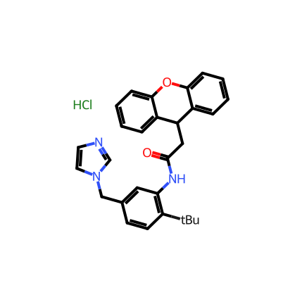 CC(C)(C)c1ccc(Cn2ccnc2)cc1NC(=O)CC1c2ccccc2Oc2ccccc21.Cl